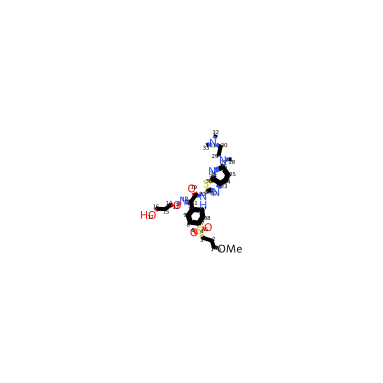 COCCCS(=O)(=O)c1ccc(/C(=N\OCCCO)C(=O)Nc2nc3ccc(N(C)CCN(C)C)nc3s2)cc1